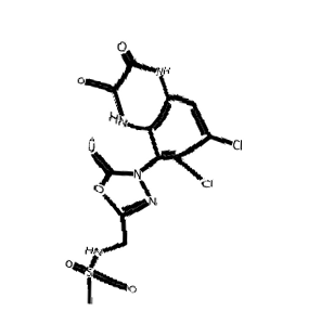 CS(=O)(=O)NCc1nn(-c2c(Cl)c(Cl)cc3[nH]c(=O)c(=O)[nH]c23)c(=O)o1